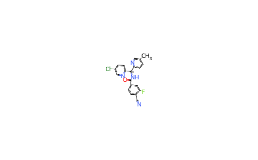 Cc1ccc([C@@H](NC(=O)c2ccc(C#N)c(F)c2)c2ccc(Cl)cn2)nc1